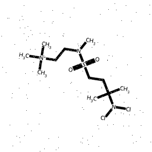 CN(CC[N+](C)(C)C)S(=O)(=O)CCC(C)(C)N(Cl)Cl